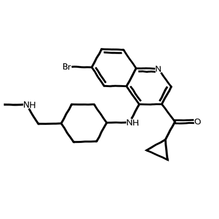 CNCC1CCC(Nc2c(C(=O)C3CC3)cnc3ccc(Br)cc23)CC1